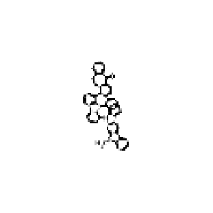 Cn1c2ccccc2c2cc3c4ccccc4n(-c4cccc5c4B(c4ccccc4)c4c-5cccc4-c4cccc5c(=O)c6ccccc6ccc45)c3cc21